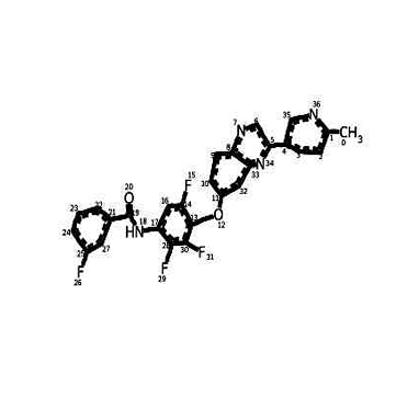 Cc1ccc(-c2cnc3ccc(Oc4c(F)cc(NC(=O)c5cccc(F)c5)c(F)c4F)cc3n2)cn1